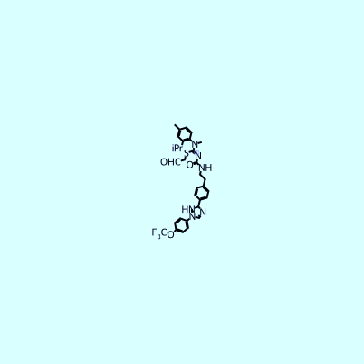 Cc1ccc(N(C)/C(=N/C(=O)NCCc2ccc(C3N=CN(c4ccc(OC(F)(F)F)cc4)N3)cc2)SCC=O)c(C(C)C)c1